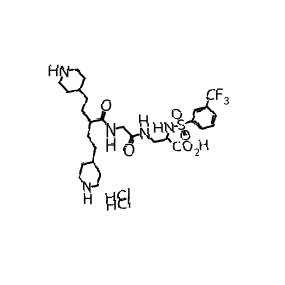 Cl.Cl.O=C(CNC(=O)C(CCC1CCNCC1)CCC1CCNCC1)NCC(NS(=O)(=O)c1cccc(C(F)(F)F)c1)C(=O)O